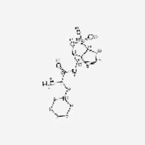 CC(CN1CCCCC1)C(=O)OC1C2CC3C1OS(=O)(=O)C3C2